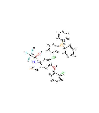 O=C(Nc1cc(Cl)c(Oc2ccccc2Cl)cc1CBr)C(F)(F)F.c1ccc(P(c2ccccc2)c2ccccc2)cc1